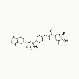 N/C(=C\N(N)C1CCC(CNC(=O)c2cc(F)c(O)c(F)c2)CC1)c1ccc2nccnc2c1